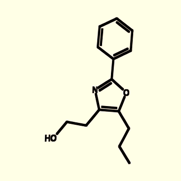 CCCc1oc(-c2ccccc2)nc1CCO